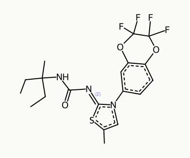 CCC(C)(CC)NC(=O)/N=c1\sc(C)cn1-c1ccc2c(c1)OC(F)(F)C(F)(F)O2